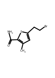 Cc1cc(CCBr)sc1C(N)=O